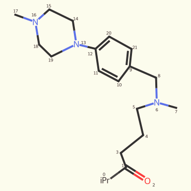 CC(C)C(=O)CCCN(C)Cc1ccc(N2CCN(C)CC2)cc1